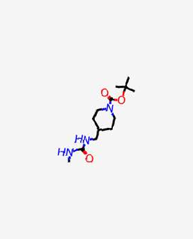 CNC(=O)NCC1CCN(C(=O)OC(C)(C)C)CC1